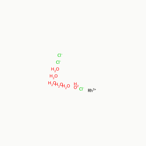 O.O.O.O.O.O.[Cl-].[Cl-].[Cl-].[Rh+3]